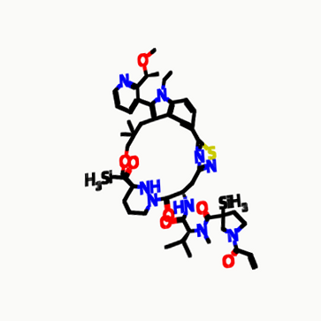 C=CC(=O)N1CCC([SiH3])(C(=O)N(C)[C@H](C(=O)N[C@H]2Cc3nsc(n3)-c3ccc4c(c3)c(c(-c3cccnc3[C@H](C)OC)n4CC)CC(C)(C)COC[C@]3(C(=O)[SiH3])CCCN(N3)C2=O)C(C)C)C1